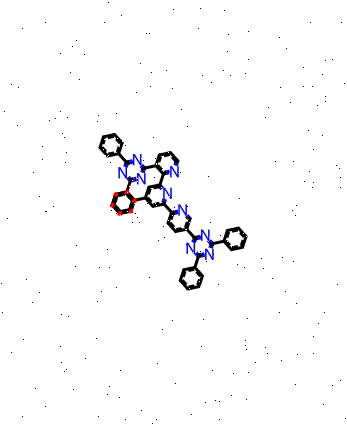 c1ccc(-c2cc(-c3ccc(-c4nc(-c5ccccc5)nc(-c5ccccc5)n4)cn3)nc(-c3ncccc3-c3nc(-c4ccccc4)nc(-c4ccccc4)n3)c2)cc1